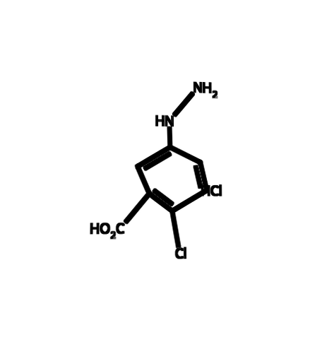 Cl.NNc1ccc(Cl)c(C(=O)O)c1